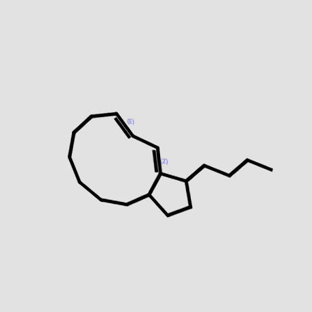 CCCCC1CCC2CCCCCC/C=C/C=C/12